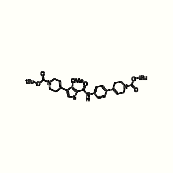 COc1c(C2=CCN(C(=O)OC(C)(C)C)CC2)csc1C(=O)Nc1ccc(C2=CCN(C(=O)OC(C)(C)C)CC2)cc1